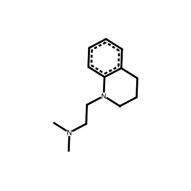 CN(C)CCN1[C]CCc2ccccc21